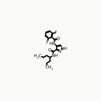 CCCC(CCC)NC(=O)c1n[nH]cc1NC(=O)c1c(F)cccc1F